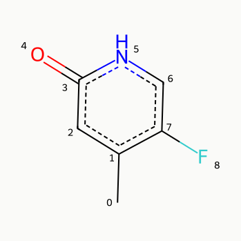 Cc1cc(=O)[nH]cc1F